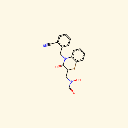 N#Cc1ccccc1CN1C(=O)C(CN(O)C=O)Sc2ccccc21